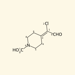 O=CC(Cl)=C1CCN(C(=O)O)CC1